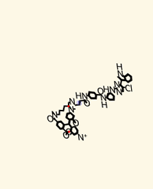 CN(C/C=C/C(=O)Nc1ccc(C(=O)Nc2cccc(Nc3ncc(Cl)c(-c4c[nH]c5ccccc45)n3)c2)cc1)CCCCCCN(C)C(=O)c1ccc(C(=O)[O-])c(-c2c3ccc(=[N+](C)C)cc-3oc3cc(N(C)C)ccc23)c1